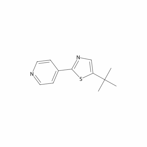 CC(C)(C)c1cnc(-c2ccncc2)s1